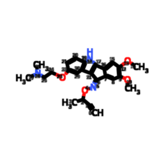 C#CC(C)ON=C1c2cc(OC)c(OC)cc2-c2[nH]c3ccc(OCCN(C)C)cc3c21